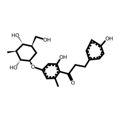 Cc1cc(O[C@@H]2C[C@H](CO)[C@@H](O)[C@H](C)[C@H]2O)cc(O)c1C(=O)CCc1ccc(O)cc1